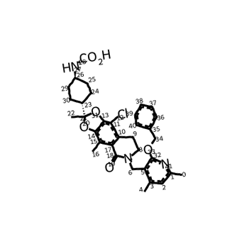 Cc1cc(C)c(CN2CCc3c(Cl)c4c(c(C)c3C2=O)OC(C)([C@H]2CC[C@H](NC(=O)O)CC2)O4)c(OCc2ccccc2)n1